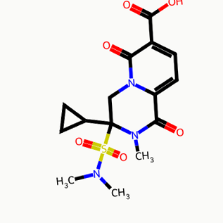 CN1C(=O)c2ccc(C(=O)O)c(=O)n2CC1(C1CC1)S(=O)(=O)N(C)C